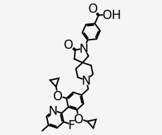 Cc1cnc(-c2c(OC3CC3)cc(CN3CCC4(CC3)CC(=O)N(c3ccc(C(=O)O)cc3)C4)cc2OC2CC2)c(F)c1